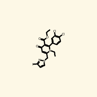 CCOC(=O)c1c(-c2ccc(Cl)c(Cl)c2)n(CC)c(Cn2ccc(I)n2)cc1=O